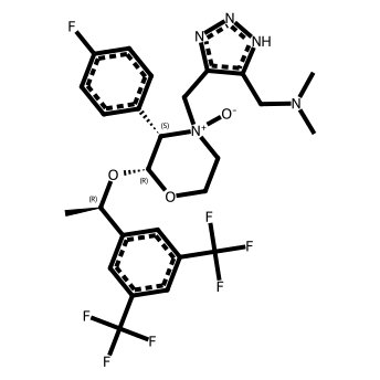 C[C@@H](O[C@H]1OCC[N+]([O-])(Cc2nn[nH]c2CN(C)C)[C@H]1c1ccc(F)cc1)c1cc(C(F)(F)F)cc(C(F)(F)F)c1